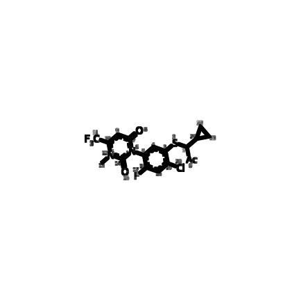 CC(=O)C(Sc1cc(-n2c(=O)cc(C(F)(F)F)n(C)c2=O)c(F)cc1Cl)C1CC1